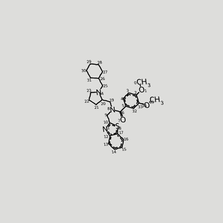 COc1ccc(C(=O)N(Cc2nc3ccccc3s2)CC2CCCN2CC2CCCCC2)cc1OC